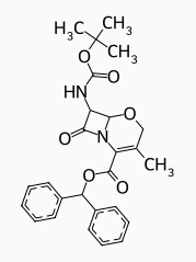 CC1=C(C(=O)OC(c2ccccc2)c2ccccc2)N2C(=O)C(NC(=O)OC(C)(C)C)C2OC1